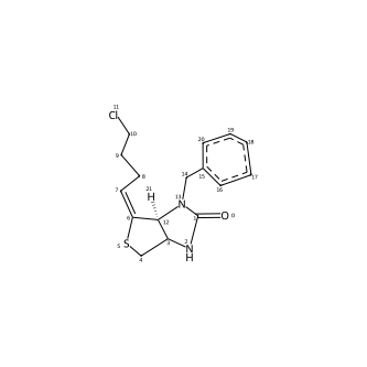 O=C1NC2CS/C(=C/CCCCl)[C@H]2N1Cc1ccccc1